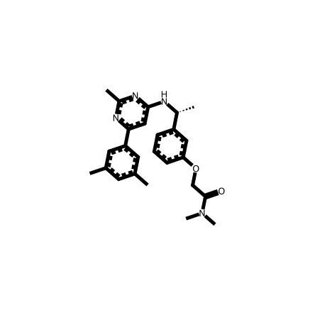 Cc1cc(C)cc(-c2cc(N[C@H](C)c3cccc(OCC(=O)N(C)C)c3)nc(C)n2)c1